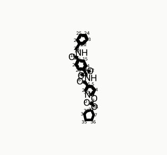 O=C(Oc1ccc(C(=O)NS(=O)(=O)c2ccc(C(=O)NCc3ccccc3)cc2)cn1)OC1CCCCC1